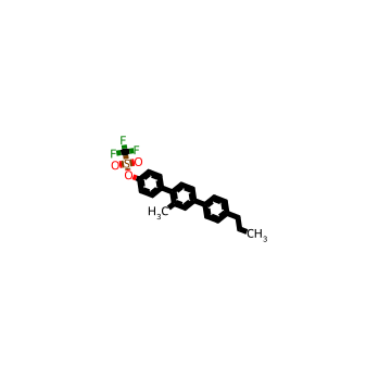 CCCc1ccc(-c2ccc(-c3ccc(OS(=O)(=O)C(F)(F)F)cc3)c(C)c2)cc1